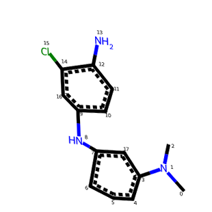 CN(C)c1cccc(Nc2ccc(N)c(Cl)c2)c1